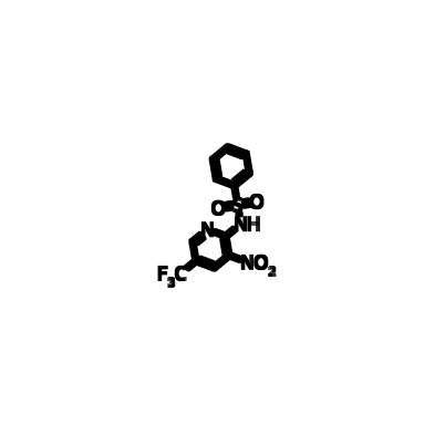 O=[N+]([O-])c1cc(C(F)(F)F)cnc1NS(=O)(=O)c1ccccc1